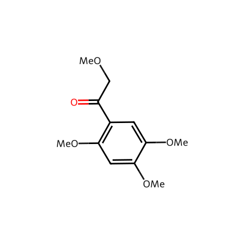 COCC(=O)c1cc(OC)c(OC)cc1OC